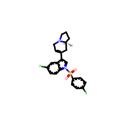 O=S(=O)(c1ccc(F)cc1)n1cc(C2=CCN3CCC[C@H]3C2)c2cc(F)ccc21